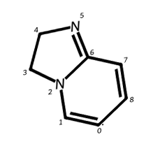 [C]1=CN2CCN=C2C=C1